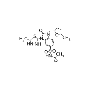 CC1CCC(Cn2c(=O)n(C3NNC(C)S3)c3cc(S(=O)(=O)NC4(C)CC4)ccc32)O1